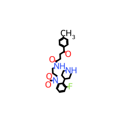 Cc1ccc(C(=O)CCC(=O)NCC2CN(c3cccc(F)c3C3CCNCC3)C(=O)O2)cc1